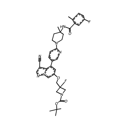 Cc1ccc(F)cc1C(=O)NC1(C)CCN(c2ccc(-c3cc(OCC4(F)CN(C(=O)OC(C)(C)C)C4)cn4ncc(C#N)c34)cn2)CC1